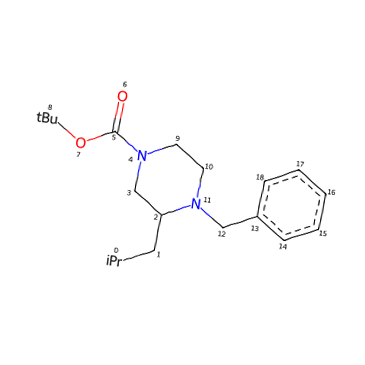 CC(C)CC1CN(C(=O)OC(C)(C)C)CCN1Cc1ccccc1